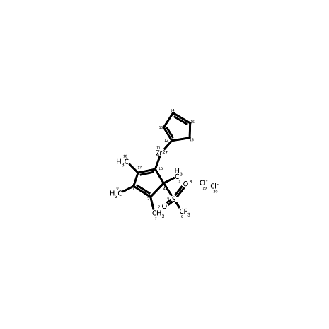 CC1=C(C)C(C)(S(=O)(=O)C(F)(F)F)[C]([Zr+2][C]2=CC=CC2)=C1C.[Cl-].[Cl-]